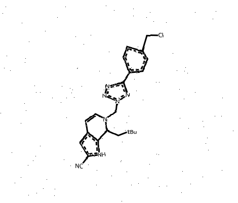 CC(C)(C)CC1c2[nH]c(C#N)cc2C=CN1Cn1nnc(-c2ccc(CCl)cc2)n1